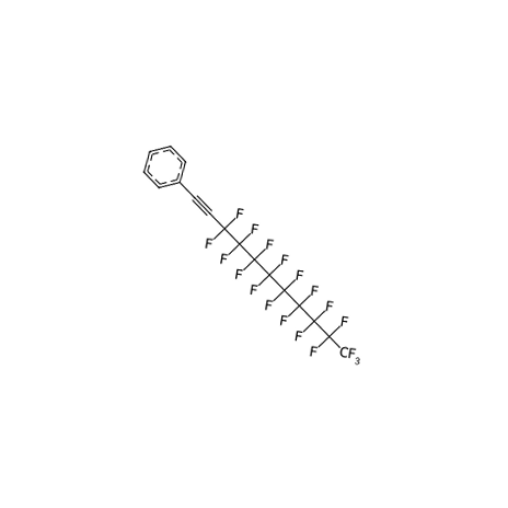 FC(F)(F)C(F)(F)C(F)(F)C(F)(F)C(F)(F)C(F)(F)C(F)(F)C(F)(F)C(F)(F)C#Cc1ccccc1